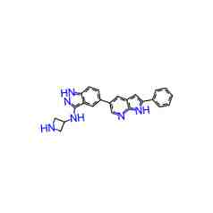 c1ccc(-c2cc3cc(-c4ccc5[nH]nc(NC6CNC6)c5c4)cnc3[nH]2)cc1